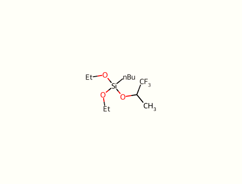 CCCC[Si](OCC)(OCC)OC(C)C(F)(F)F